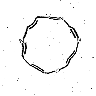 c1cncccoccncnc1